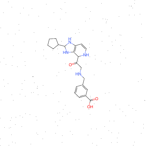 O=C(O)c1cccc(CNCC(=O)C2NC=CC3=C2NC(C2CCCC2)N3)c1